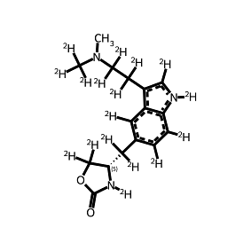 [2H]c1c(C([2H])([2H])[C@@H]2N([2H])C(=O)OC2([2H])[2H])c([2H])c2c(C([2H])([2H])C([2H])([2H])N(C)C([2H])([2H])[2H])c([2H])n([2H])c2c1[2H]